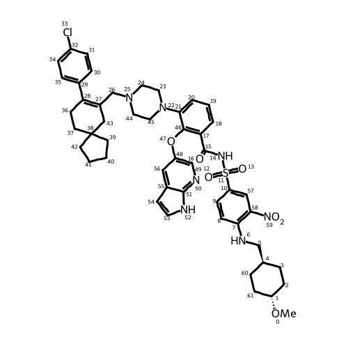 CO[C@H]1CC[C@H](CNc2ccc(S(=O)(=O)NC(=O)c3cccc(N4CCN(CC5=C(c6ccc(Cl)cc6)CCC6(CCCC6)C5)CC4)c3Oc3cnc4[nH]ccc4c3)cc2[N+](=O)[O-])CC1